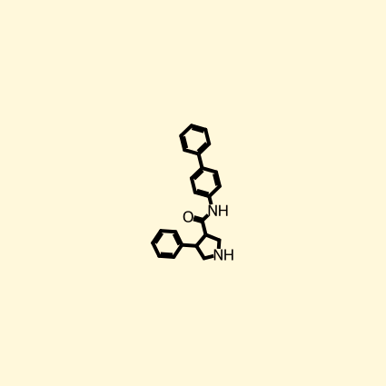 O=C(Nc1ccc(-c2ccccc2)cc1)C1CNCC1c1ccccc1